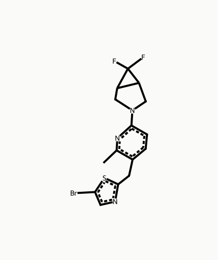 Cc1nc(N2CC3C(C2)C3(F)F)ccc1Cc1ncc(Br)s1